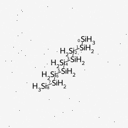 [SiH3][SiH2][SiH2][SiH2][SiH2][SiH2][SiH2][SiH2][SiH3]